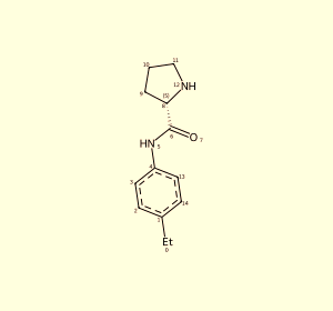 CCc1ccc(NC(=O)[C@@H]2CCCN2)cc1